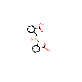 O=C(O)c1ccccc1C[S+]([O-])Cc1ccccc1C(=O)O